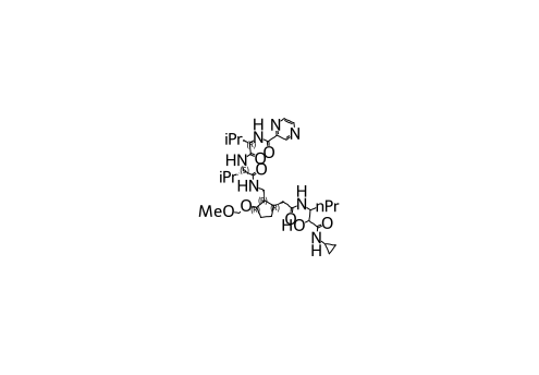 CCCC(NC(=O)C[C@H]1CC[C@@H](OCOC)[C@H]1CNC(=O)[C@@H](NC(=O)[C@H](NC(=O)c1cnccn1)C(C)C)C(C)C)C(O)C(=O)NC1CC1